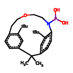 CC(C)(C)c1cc2ccc1CCOCCN(P(O)O)c1ccc(cc1C(C)(C)C)C2(C)C